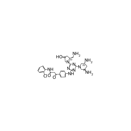 NC[C@@H]1C[C@H](O)CN1c1nc(Nc2ccc(C(=O)CC(=O)Nc3ccccc3Cl)cc2)nc(N2C[C@H](N)C[C@H](N)C2)n1